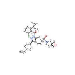 O=C(O)C1CC=C(c2nn(C(=O)c3c(Cl)cccc3C3(C(F)(F)F)CC3)c3c2CCC(C(=O)N2CCC4(COC4)C2)C3)CC1